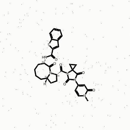 Cn1ccc(N2C(=O)N(C(=O)[C@@H]3CC[C@@H]4CCCC[C@H](NC(=O)c5cc6ccccc6s5)C(=O)N43)C3(CC3)C2=O)cc1=O